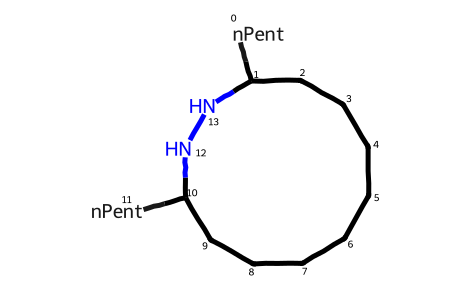 CCCCCC1CCCCCCCCC(CCCCC)NN1